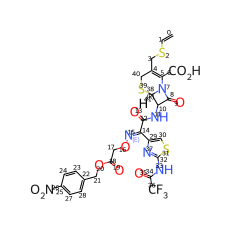 C=CSCC1=C(C(=O)O)N2C(=O)C(NC(=O)/C(=N/OCC(=O)OCc3ccc([N+](=O)[O-])cc3)c3csc(NC(=O)C(F)(F)F)n3)[C@H]2SC1